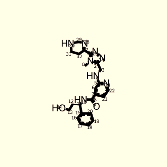 Cn1c(CNc2cc(C(=O)N[C@H](CCO)c3ccccc3)ccn2)nnc1C1=NCNCC1